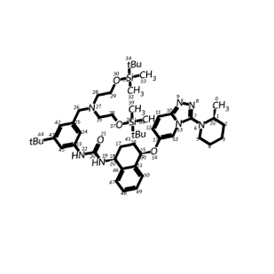 C[C@H]1CCCCN1c1nnc2ccc(O[C@@H]3CC[C@H](NC(=O)Nc4cc(CN(CCO[Si](C)(C)C(C)(C)C)CCO[Si](C)(C)C(C)(C)C)cc(C(C)(C)C)c4)c4ccccc43)cn12